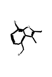 Cc1oc2c(Br)ccc(CBr)c2c1C